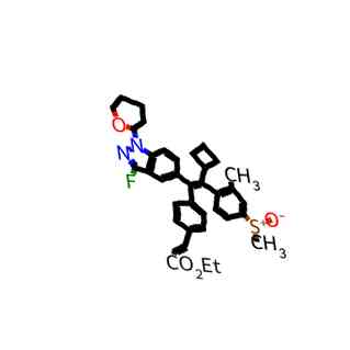 CCOC(=O)/C=C/c1ccc(/C(=C(\c2ccc([S+](C)[O-])cc2C)C2CCC2)c2ccc3c(c2)c(F)nn3C2CCCCO2)cc1